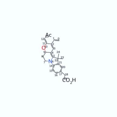 C=CC1=CC2=C3N(CCC2O/C1=C/C(C)=O)c1ccc(CC(=O)O)cc1C3(C)C